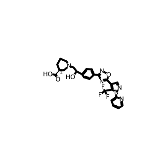 O=C(O)[C@H]1CCCN(CC(O)c2ccc(-c3noc(-c4cnn(-c5ccccn5)c4C(F)(F)F)n3)cc2)C1